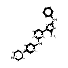 Cc1nc(Nc2ccccc2)sc1-c1ccnc(Nc2ccc(N3CCNCC3)cn2)n1